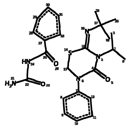 CC(C)N1C(=O)N(c2ccccc2)CSC1=NC(C)(C)C.NC(=O)NC(=O)c1ccccc1